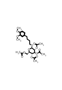 COc1ccc(CCCCO[C@@H]2O[C@H](COC(C)=O)[C@@H](OC(C)=O)[C@H](OC(C)=O)[C@H]2OC(C)=O)cc1OC